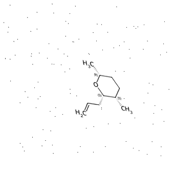 C=CC[C@@H]1O[C@H](C)CC[C@@H]1C